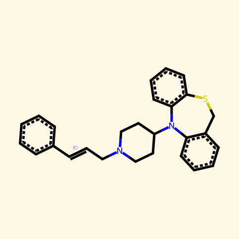 C(=C\c1ccccc1)/CN1CCC(N2c3ccccc3CSc3ccccc32)CC1